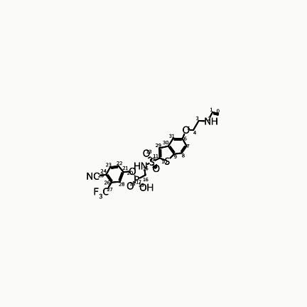 C=CNCCOc1ccc2sc(S(=O)(=O)NCP(=O)(O)Oc3ccc(C#N)c(C(F)(F)F)c3)cc2c1